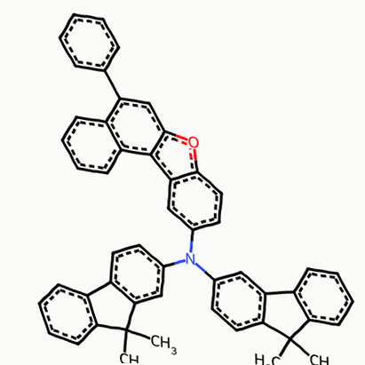 CC1(C)c2ccccc2-c2cc(N(c3ccc4c(c3)C(C)(C)c3ccccc3-4)c3ccc4oc5cc(-c6ccccc6)c6ccccc6c5c4c3)ccc21